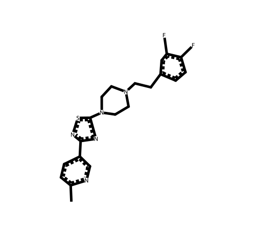 Cc1ccc(-c2nsc(N3CCN(CCc4ccc(F)c(F)c4)CC3)n2)cn1